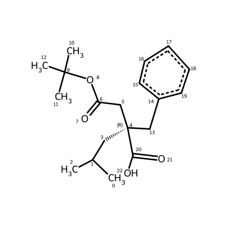 CC(C)C[C@](CC(=O)OC(C)(C)C)(Cc1ccccc1)C(=O)O